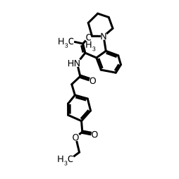 CCOC(=O)c1ccc(CC(=O)NC(=C(C)C)c2ccccc2N2CCCCC2)cc1